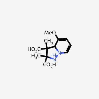 COC1=CC=CN2NC(C)(C(=O)O)C(C)(C(=O)O)C12